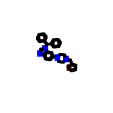 c1ccc(C(c2ccccc2)n2cnc3ccc(N4CCN(Cc5cccs5)CC4)cc32)cc1